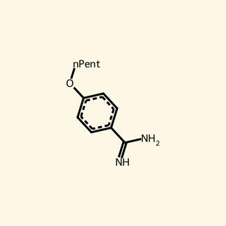 [CH2]CCCCOc1ccc(C(=N)N)cc1